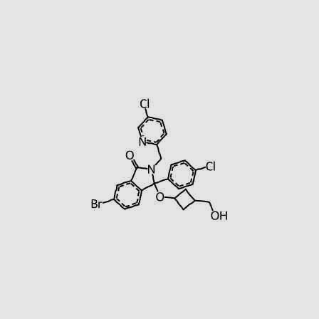 O=C1c2cc(Br)ccc2C(OC2CC(CO)C2)(c2ccc(Cl)cc2)N1Cc1ccc(Cl)cn1